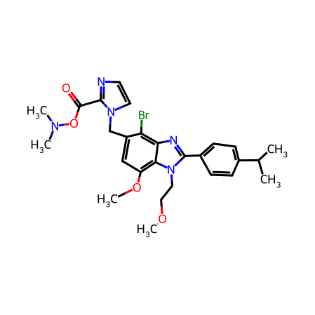 COCCn1c(-c2ccc(C(C)C)cc2)nc2c(Br)c(Cn3ccnc3C(=O)ON(C)C)cc(OC)c21